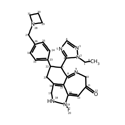 CCn1ncnc1C1C2=NCC(=O)C=C3C2=C(CNN3F)CC1c1ccc(CN2CCC2)cc1